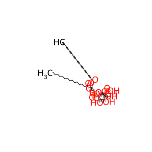 C#CC#CC#CC#CC#CC#CC#CC#CC(=O)OC[C@H](COP(=O)(O)OC1C(O)[C@H](OP(=O)(O)O)[C@H](O)C(O)[C@@H]1O)OC(=O)CCCCCCCCCCCCCCC